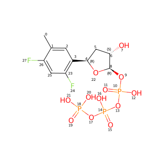 Cc1cc([C@H]2C[C@H](O)[C@@H](OP(=O)(O)OP(=O)(O)OP(=O)(O)O)O2)c(F)cc1F